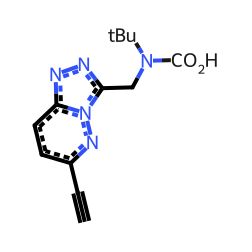 C#Cc1ccc2nnc(CN(C(=O)O)C(C)(C)C)n2n1